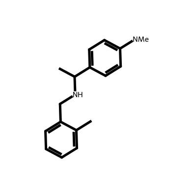 CNc1ccc(C(C)NCc2ccccc2C)cc1